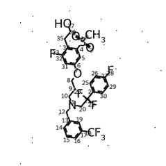 CS(=O)(=O)c1cc(OCCCN(Cc2cccc(C(F)(F)F)c2)CC(F)(F)c2ccc(F)cc2)cc(F)c1CCO